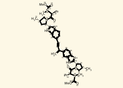 C=C(C#Cc1ccc2nc([C@@H]3C[C@H](C)CN3C(=O)[C@H](C(C)C)N(C)C(=O)OC)[nH]c2c1)c1ccc2nc([C@@H]3C[C@H](C)CN3C(=O)[C@H](C(C)C)N(C)C(=O)OC)[nH]c2c1